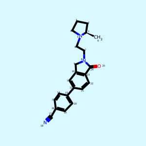 C[C@@H]1CCCN1CCN1Cc2cc(-c3ccc(C#N)cc3)ccc2C1=O